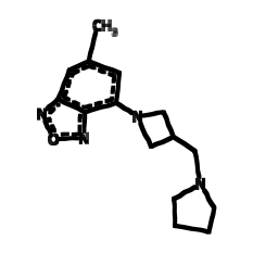 Cc1cc(N2CC(CN3CCCC3)C2)c2nonc2c1